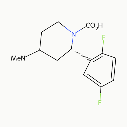 CNC1CCN(C(=O)O)[C@H](c2cc(F)ccc2F)C1